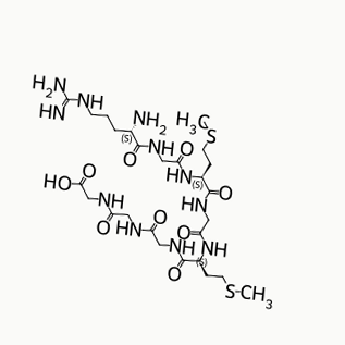 CSCC[C@H](NC(=O)CNC(=O)[C@H](CCSC)NC(=O)CNC(=O)[C@@H](N)CCCNC(=N)N)C(=O)NCC(=O)NCC(=O)NCC(=O)O